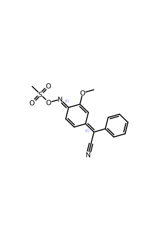 COC1=CC(=C(/C#N)c2ccccc2)/C=CC/1=N\OS(C)(=O)=O